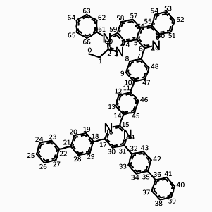 CCc1nc2c3c(-c4ccc(-c5ccc(-c6nc(-c7ccc(-c8ccccc8)cc7)cc(-c7ccc(-c8ccccc8)cc7)n6)cc5)cc4)nc4ccccc4c3ccc2n1-c1ccccc1